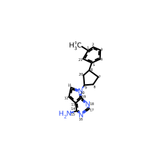 Cc1cccc(C2CCC(n3ccc4c(N)ncnc43)C2)c1